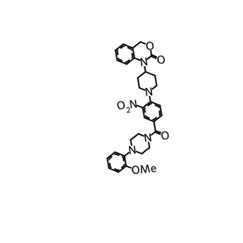 COc1ccccc1N1CCN(C(=O)c2ccc(N3CCC(N4C(=O)OCc5ccccc54)CC3)c([N+](=O)[O-])c2)CC1